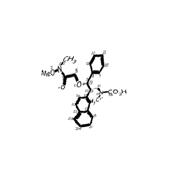 CON(C)C(=O)CO[C@H](c1ccccc1)[C@H](CN(C)C(=O)O)c1ccc2ccccc2c1